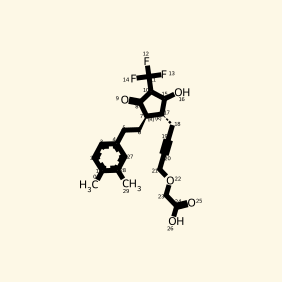 Cc1ccc(CC[C@H]2C(=O)C(C(F)(F)F)C(O)[C@@H]2CC#CCOCC(=O)O)cc1C